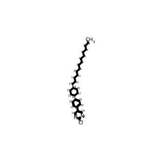 CCCCCCCCCCCCCCC[C@H]1CC[C@H](c2ccc(-c3cnc(Cl)nc3)cc2)CC1